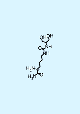 NC(=O)[C@H](N)CCCCNC(=O)NC(CO)CO